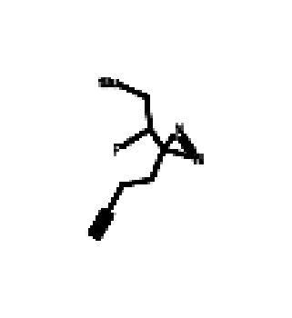 C#CCCC1(C(F)CC(C)(C)C)N=N1